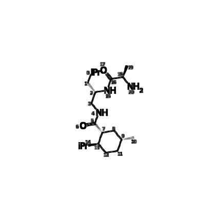 CC(C)C[C@@H](CNC(=O)[C@@H]1C[C@H](C)CC[C@H]1C(C)C)NC(=O)[C@@H](C)N